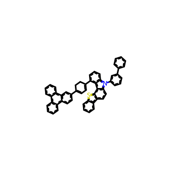 C1=C(c2ccc3c4ccccc4c4ccccc4c3c2)CCC(c2cccc3c2c2c4sc5ccccc5c4ccc2n3-c2cccc(-c3ccccc3)c2)=C1